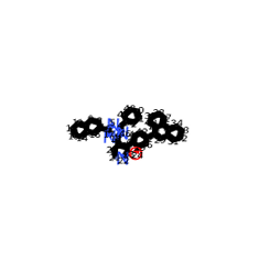 c1ccc(-c2nc(-c3ccc4ccccc4c3)nc(-c3ccnc4oc5cc(-c6cc7ccccc7c7ccccc67)ccc5c34)n2)cc1